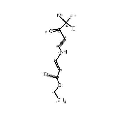 CCOC(=O)C=CNC=CC(=O)C(F)(F)F